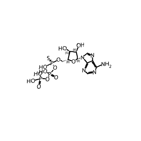 Nc1ncnc2c1ncn2[C@@H]1O[C@H](COP(O)(=S)OP(=O)(O)OP(=O)(O)O)[C@@H](O)[C@H]1O